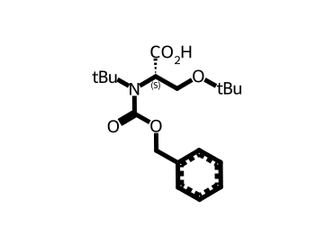 CC(C)(C)OC[C@@H](C(=O)O)N(C(=O)OCc1ccccc1)C(C)(C)C